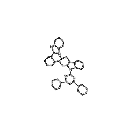 c1ccc(-c2cc(-c3ccccc3)nc(-n3c4ccccc4c4cc5c(cc43)c3ccccc3c3nc4ccccc4n53)n2)cc1